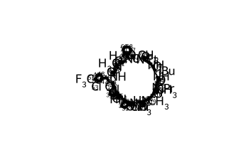 CC[C@@H]1NC(=O)[C@H]([C@@H](C)CC)NC(=O)[C@H](CC(C)C)N(C)C(=O)C[C@@H](C)NC(=O)[C@H](C(C)C)N(C)C(=O)C2(CCCC2)NC(=O)[C@@H]2CCCN2C(=O)[C@H](CCc2ccc(C(F)(F)F)c(Cl)c2)NC(=O)CN(C)C(=O)[C@H](CC2CCCCC2)N(C)C(=O)CN(C)C1=O